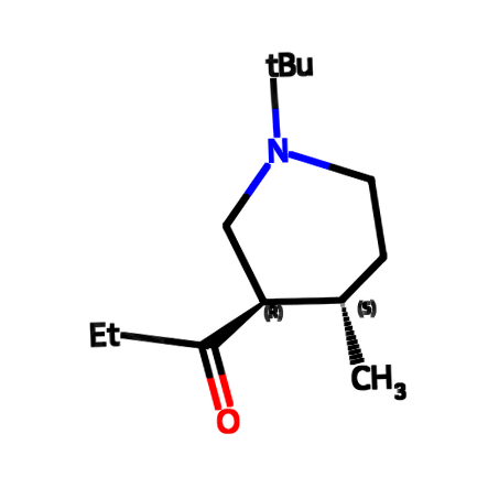 CCC(=O)[C@H]1CN(C(C)(C)C)CC[C@@H]1C